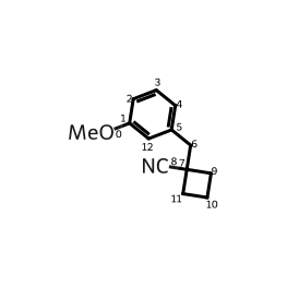 COc1cccc(CC2(C#N)CCC2)c1